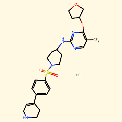 Cl.O=S(=O)(c1ccc(C2=CCNCC2)cc1)N1CCC(Nc2ncc(C(F)(F)F)c(OC3CCOC3)n2)CC1